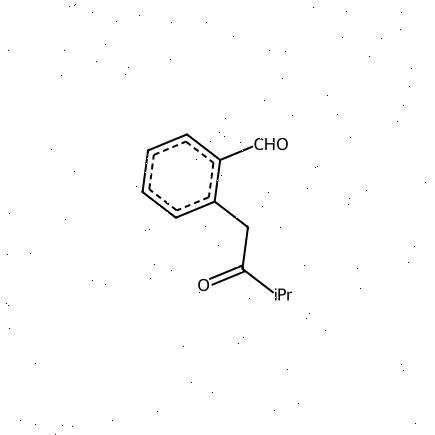 CC(C)C(=O)Cc1ccccc1C=O